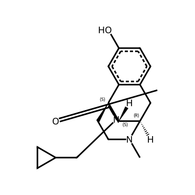 CN1CC[C@]23CC(=O)N(CC4CC4)C[C@H]2[C@H]1Cc1ccc(O)cc13